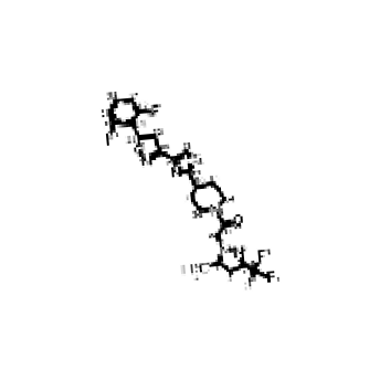 CC1CC(C(F)(F)F)=NN1CC(=O)N1CCC(c2nc(C3=NOC(c4c(F)cccc4F)C3)cs2)CC1